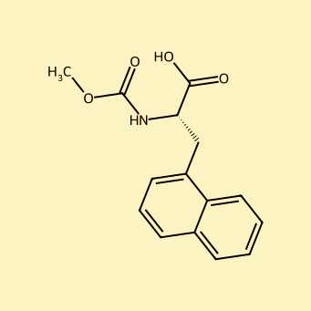 COC(=O)N[C@@H](Cc1cccc2ccccc12)C(=O)O